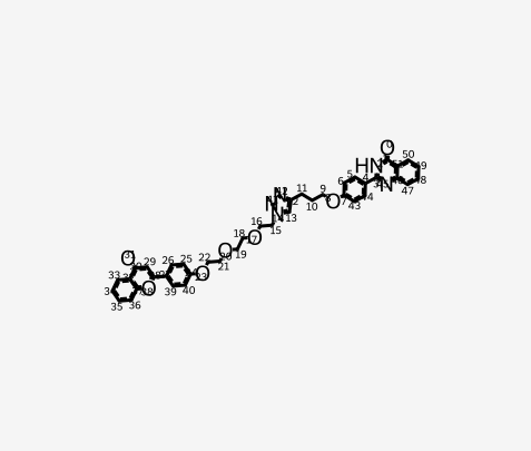 O=c1[nH]c(-c2ccc(OCCCc3cn(CCOCCOCCOc4ccc(-c5cc(=O)c6ccccc6o5)cc4)nn3)cc2)nc2ccccc12